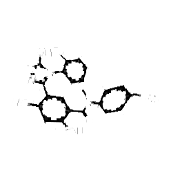 COc1ccc(N(C)C(=O)c2cc(-c3nnc(O)n3-c3ccccc3F)c(O)cc2O)cc1